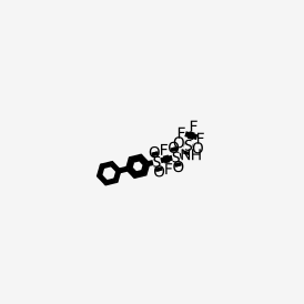 O=S(=O)(NS(=O)(=O)C(F)(F)S(=O)(=O)c1ccc(C2CCCCC2)cc1)C(F)(F)F